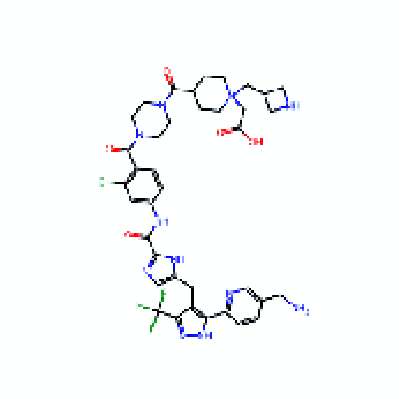 NCc1ccc(-c2[nH]nc(C(F)(F)F)c2Cc2cnc(C(=O)Nc3ccc(C(=O)N4CCN(C(=O)C5CC[N+](CC(=O)O)(CC6CNC6)CC5)CC4)c(Cl)c3)[nH]2)nc1